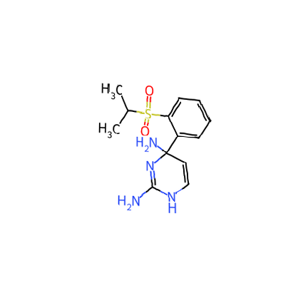 CC(C)S(=O)(=O)c1ccccc1C1(N)C=CNC(N)=N1